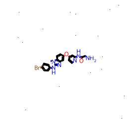 Cn1c(Nc2ccc(Br)cc2)nc2cc(Oc3ccnc(NC(=O)CN)c3)ccc21